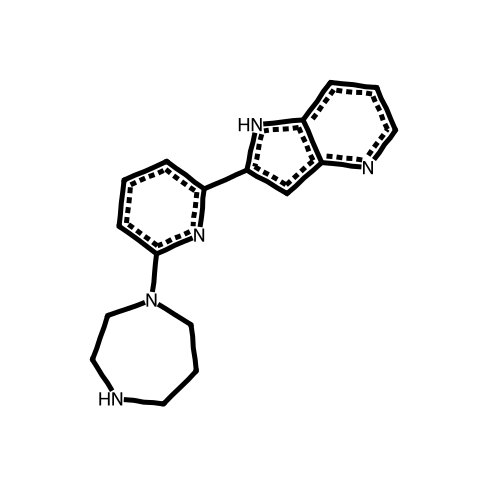 c1cc(-c2cc3ncccc3[nH]2)nc(N2CCCNCC2)c1